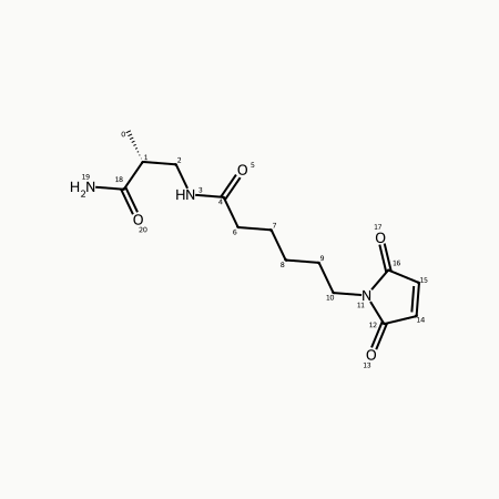 C[C@H](CNC(=O)CCCCCN1C(=O)C=CC1=O)C(N)=O